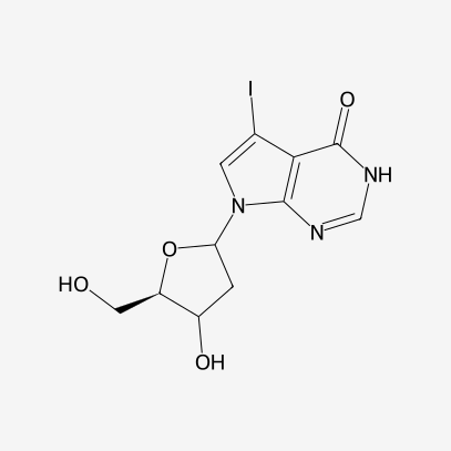 O=c1[nH]cnc2c1c(I)cn2C1CC(O)[C@@H](CO)O1